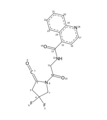 O=C=C1CC(F)(F)CN1C(=O)CNC(=O)c1ccnc2ccccc12